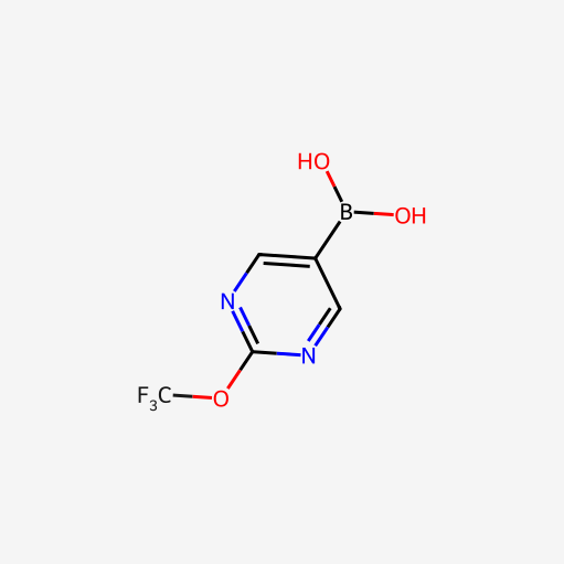 OB(O)c1cnc(OC(F)(F)F)nc1